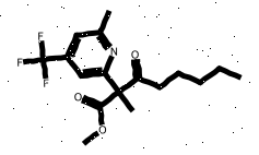 CCCCCC(=O)C(C)(C(=O)OC)c1cc(C(F)(F)F)cc(C)n1